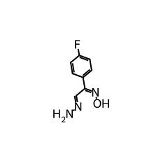 NN=CC(=NO)c1ccc(F)cc1